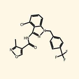 Cc1nocc1C(=O)Nc1nn(Cc2ccc(C(F)(F)F)cc2)c2cccc(Cl)c12